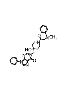 C[C@H](CC(=O)N1CCC(O)(Cn2cnc3c(ncn3-c3ccccc3)c2=O)CC1)c1ccccc1